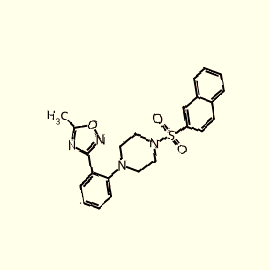 Cc1nc(-c2c[c]ccc2N2CCN(S(=O)(=O)c3ccc4ccccc4c3)CC2)no1